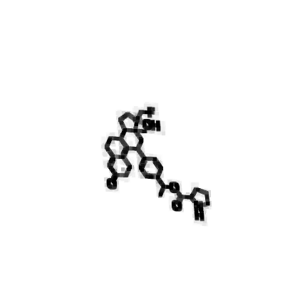 CC(OC(=O)C1CCCN1)c1ccc(C2CC3(C)C(CC[C@@]3(O)CF)C3CCC4=CC(=O)CCC4=C23)cc1